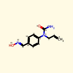 C=CCN(C(N)=O)c1ccc(C=NO)cc1